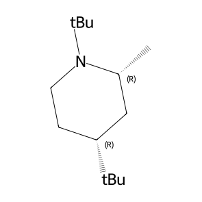 C[C@@H]1C[C@H](C(C)(C)C)CCN1C(C)(C)C